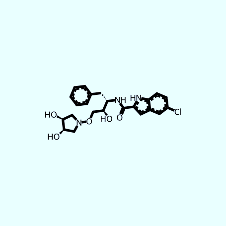 O=C(N[C@@H](Cc1ccccc1)[C@@H](O)CON1C[C@@H](O)[C@@H](O)C1)c1cc2cc(Cl)ccc2[nH]1